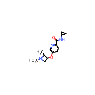 CC1C(Oc2ccc(C(=O)NC3CC3)nc2)CN1C(=O)O